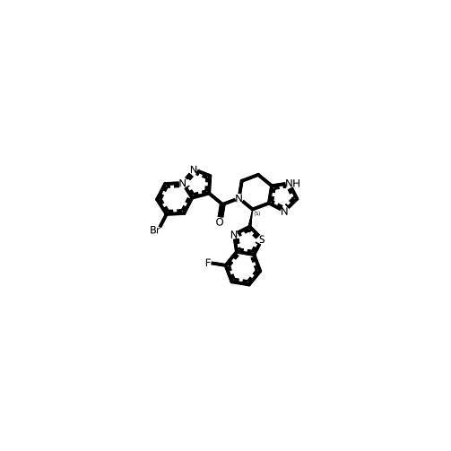 O=C(c1cnn2ccc(Br)cc12)N1CCc2[nH]cnc2[C@H]1c1nc2c(F)cccc2s1